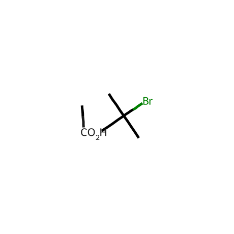 CC(=O)O.CC(C)(C)Br